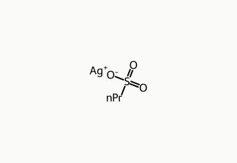 CCCS(=O)(=O)[O-].[Ag+]